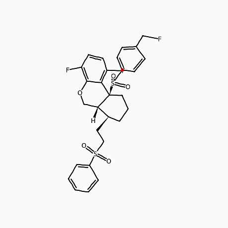 O=S(=O)(CC[C@@H]1CCC[C@@]2(S(=O)(=O)c3ccc(CF)cc3)c3c(F)ccc(F)c3OC[C@@H]12)c1ccccc1